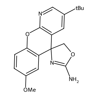 COc1ccc2c(c1)C1(COC(N)=N1)c1cc(C(C)(C)C)cnc1O2